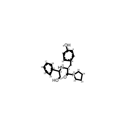 O=C([C@H](Cc1ccc(O)cc1)NC(CO)c1ccccc1)N1CCCC1